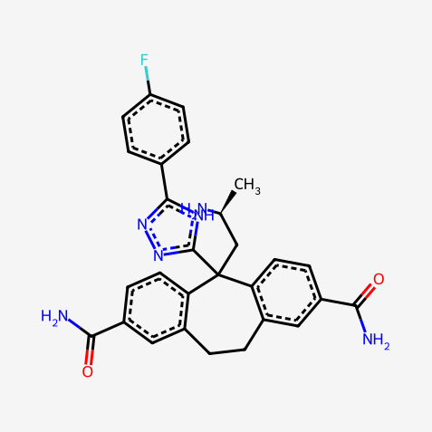 C[C@H](N)CC1(c2nnc(-c3ccc(F)cc3)[nH]2)c2ccc(C(N)=O)cc2CCc2cc(C(N)=O)ccc21